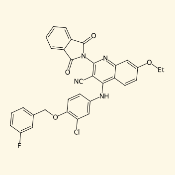 CCOc1ccc2c(Nc3ccc(OCc4cccc(F)c4)c(Cl)c3)c(C#N)c(N3C(=O)c4ccccc4C3=O)nc2c1